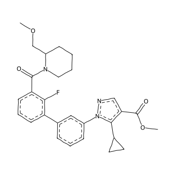 COCC1CCCCN1C(=O)c1cccc(-c2cccc(-n3ncc(C(=O)OC)c3C3CC3)c2)c1F